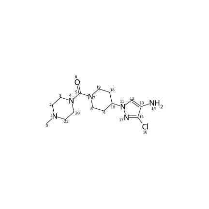 CN1CCN(C(=O)N2CCC(n3cc(N)c(Cl)n3)CC2)CC1